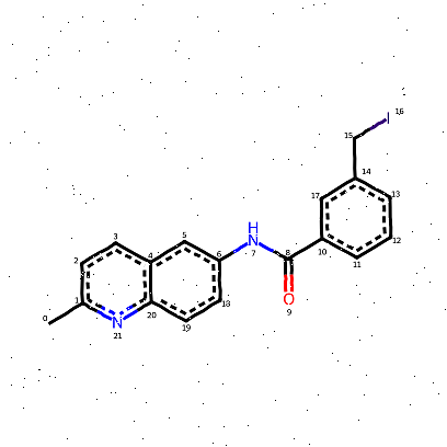 Cc1ccc2cc(NC(=O)c3cccc(CI)c3)ccc2n1